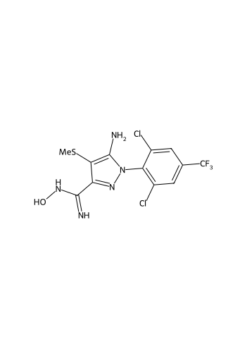 CSc1c(C(=N)NO)nn(-c2c(Cl)cc(C(F)(F)F)cc2Cl)c1N